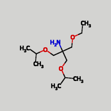 CCOCC(N)(COC(C)C)COC(C)C